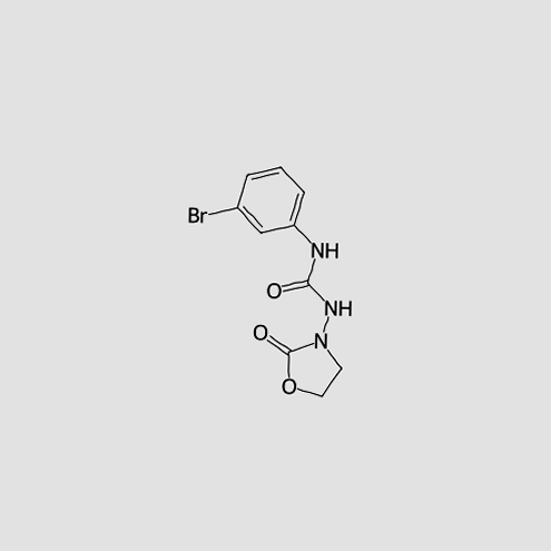 O=C(Nc1cccc(Br)c1)NN1CCOC1=O